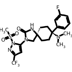 CN(C)[C@]1(c2cccc(F)c2)CC[C@]2(CC1)CN(c1cc(C(F)(F)F)nn1S(C)(=O)=O)C(=O)N2